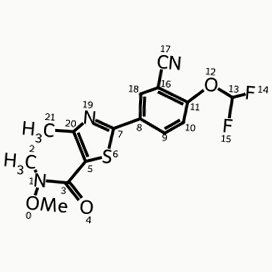 CON(C)C(=O)c1sc(-c2ccc(OC(F)F)c(C#N)c2)nc1C